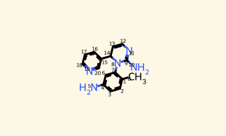 Cc1ccc(N)cc1N1C(N)=NC=CC1c1cccnc1